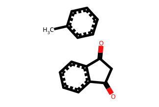 Cc1ccccc1.O=C1CC(=O)c2ccccc21